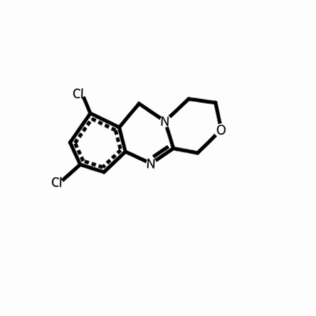 Clc1cc(Cl)c2c(c1)N=C1COCCN1C2